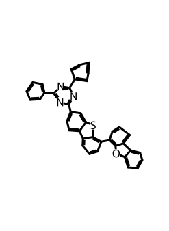 c1ccc(-c2nc(-c3ccccc3)nc(-c3ccc4c(c3)sc3c(-c5cccc6c5oc5ccccc56)cccc34)n2)cc1